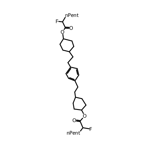 CCCCCC(F)C(=O)OC1CCC(CCc2ccc(CCC3CCC(OC(=O)C(F)CCCCC)CC3)cc2)CC1